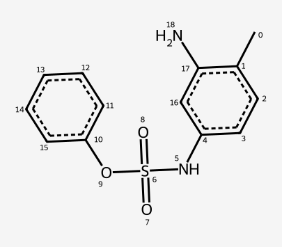 Cc1ccc(NS(=O)(=O)Oc2ccccc2)cc1N